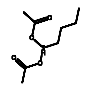 CCCC[SH](OC(C)=O)OC(C)=O